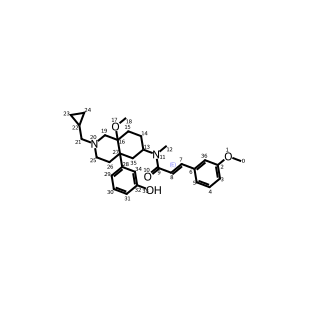 COc1cccc(/C=C/C(=O)N(C)C2CCC3(OC)CN(CC4CC4)CCC3(c3cccc(O)c3)C2)c1